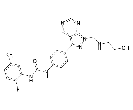 O=C(Nc1ccc(-c2nn(CNCCO)c3ncncc23)cc1)Nc1cc(C(F)(F)F)ccc1F